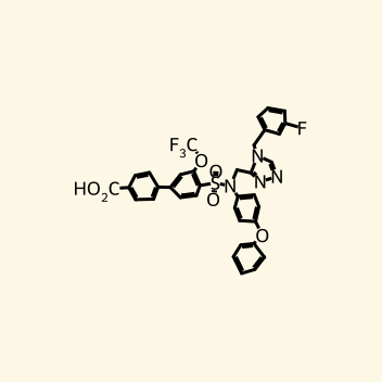 O=C(O)c1ccc(-c2ccc(S(=O)(=O)N(Cc3nncn3Cc3cccc(F)c3)c3ccc(Oc4ccccc4)cc3)c(OC(F)(F)F)c2)cc1